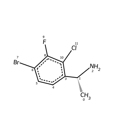 C[C@@H](N)c1ccc(Br)c(F)c1Cl